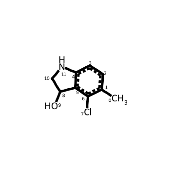 Cc1ccc2c(c1Cl)C(O)CN2